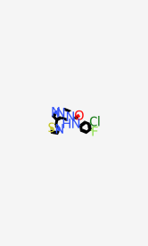 O=C(Nc1ccc(F)c(Cl)c1)N1CCn2ncc(-c3nccs3)c2C1